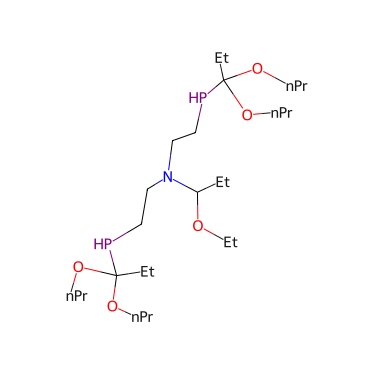 CCCOC(CC)(OCCC)PCCN(CCPC(CC)(OCCC)OCCC)C(CC)OCC